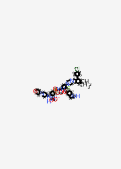 CC1(C)CCC(CN2CCN(c3ccc(C(=O)NS(=O)(=O)c4ccc(NC5CCN(C6CCOCC6)CC5)c([N+](=O)[O-])c4)c(Oc4ccc5[nH]ccc5c4)c3F)CC2)=C(c2ccc(Cl)cc2)C1